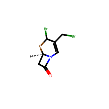 O=C1C[C@H]2SC(Br)C(CBr)=CN12